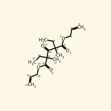 C=CCOC(=O)C(C)(CC)C(=O)C(C)(CC)C(=O)OCC=C